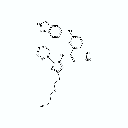 COCCOCCn1cc(NC(=O)c2cccc(Nc3ccc4n[nH]cc4c3)n2)c(-c2ccccn2)n1.O=CO